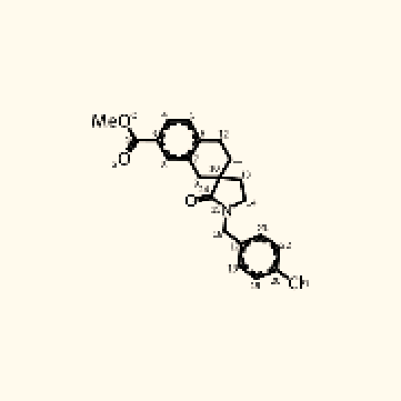 COC(=O)c1ccc2c(c1)CC1(CC2)CCN(Cc2ccc(Cl)cc2)C1=O